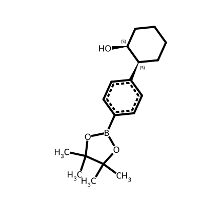 CC1(C)OB(c2ccc([C@@H]3CCCC[C@@H]3O)cc2)OC1(C)C